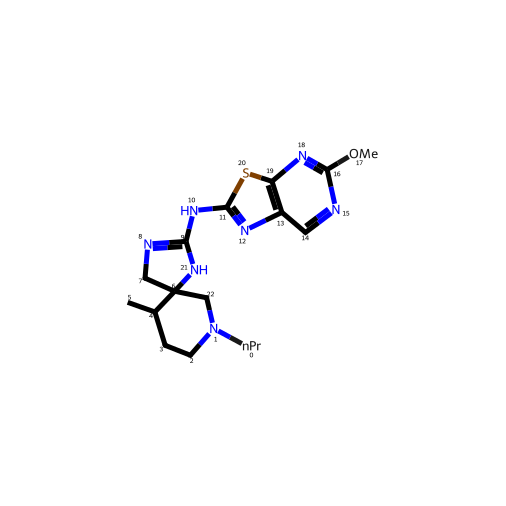 CCCN1CCC(C)C2(CN=C(Nc3nc4cnc(OC)nc4s3)N2)C1